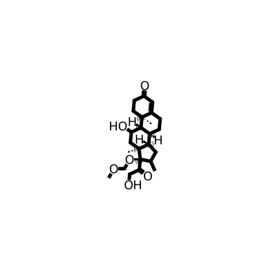 COCO[C@]1(C(=O)CO)C(C)C[C@H]2[C@@H]3CCC4=CC(=O)CC[C@]4(C)[C@H]3C(O)C[C@@]21C